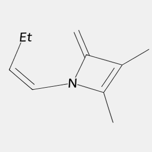 C=C1C(C)=C(C)N1/C=C\CC